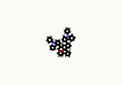 c1ccc(-c2ccccc2-c2c3cccc(-c4cccc5c4c4ccccc4n5-c4ccccc4)c3cc3c(-c4cccc5c4c4ccccc4n5-c4ccccc4)cccc23)cc1